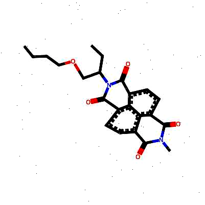 CCCCOCC(CC)N1C(=O)c2ccc3c4c(ccc(c24)C1=O)C(=O)N(C)C3=O